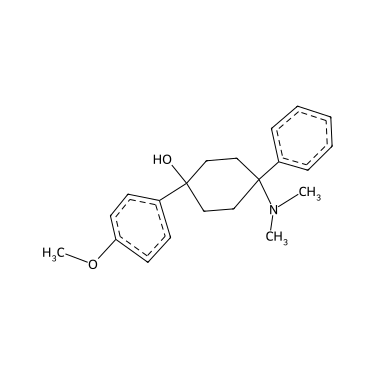 COc1ccc(C2(O)CCC(c3ccccc3)(N(C)C)CC2)cc1